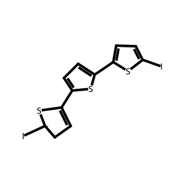 I[C]1CC=C(c2ccc(-c3ccc(I)s3)s2)S1